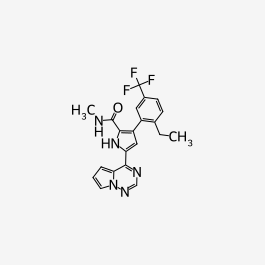 CCc1ccc(C(F)(F)F)cc1-c1cc(-c2ncnn3cccc23)[nH]c1C(=O)NC